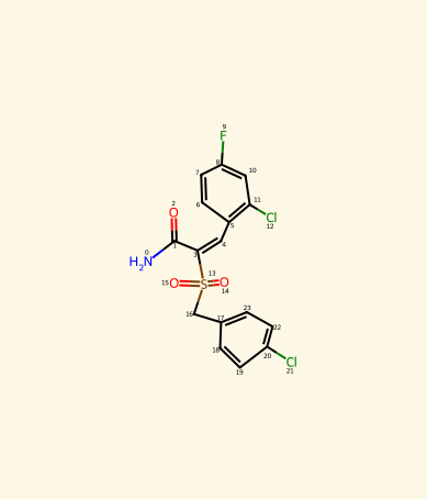 NC(=O)/C(=C\c1ccc(F)cc1Cl)S(=O)(=O)Cc1ccc(Cl)cc1